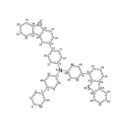 c1ccc(-c2ccc(N(c3ccc(-c4ccc5oc6ccccc6c5c4)cc3)c3ccc(-c4cccc5c4sc4ccccc45)cc3)cc2)cc1